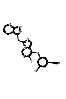 N#Cc1cc(Cl)cc(Oc2c(Cl)ncn3c(Cc4n[nH]c5ncccc45)ncc23)c1